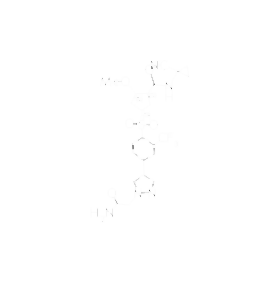 CO[C@H]1C[C@@H](S(=O)(=O)c2ccc(-c3cnn(CC(N)=O)c3)cc2C(F)(F)F)C[C@@H]1C(=O)NC1(C#N)CC1